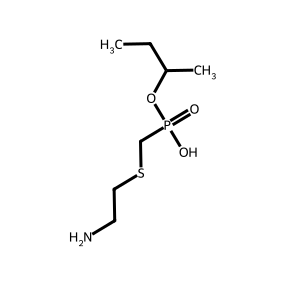 CCC(C)OP(=O)(O)CSCCN